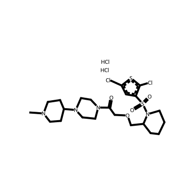 CN1CCC(N2CCN(C(=O)COCC3CCCCN3S(=O)(=O)c3cc(Cl)sc3Cl)CC2)CC1.Cl.Cl